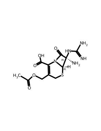 CC(=O)OCC1=C(C(=O)O)N2C(=O)[C@@](N)(NC(=N)N)[C@H]2SC1